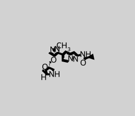 Cn1ncc(OC[C@@]23CN[C@@H](CO2)C3)c1-c1ccn2nc(NC(=O)C3CC3)cc2c1